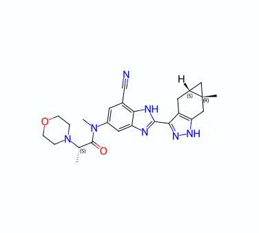 C[C@@H](C(=O)N(C)c1cc(C#N)c2[nH]c(-c3n[nH]c4c3C[C@@H]3C[C@]3(C)C4)nc2c1)N1CCOCC1